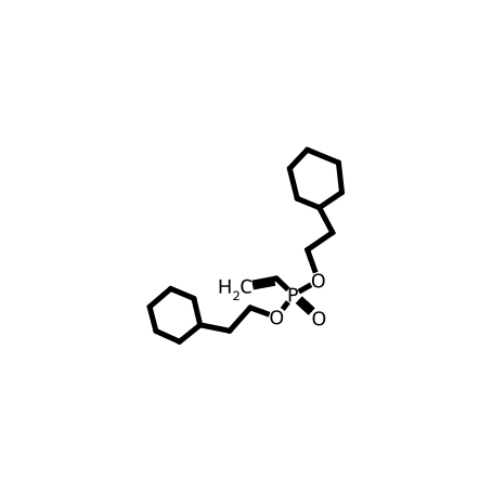 C=CP(=O)(OCCC1CCCCC1)OCCC1CCCCC1